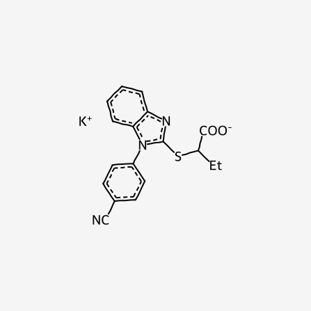 CCC(Sc1nc2ccccc2n1-c1ccc(C#N)cc1)C(=O)[O-].[K+]